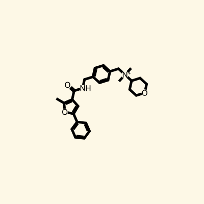 Cc1oc(-c2ccccc2)cc1C(=O)NCc1ccc(C[N+](C)(C)C2CCOCC2)cc1